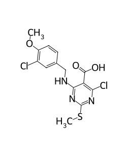 COc1ccc(CNc2nc(SC)nc(Cl)c2C(=O)O)cc1Cl